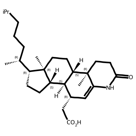 CC(C)CCC[C@@H](C)[C@H]1CC[C@H]2[C@@H]3[C@@H](CC(=O)O)C=C4NC(=O)CC[C@]4(C)[C@H]3CC[C@]12C